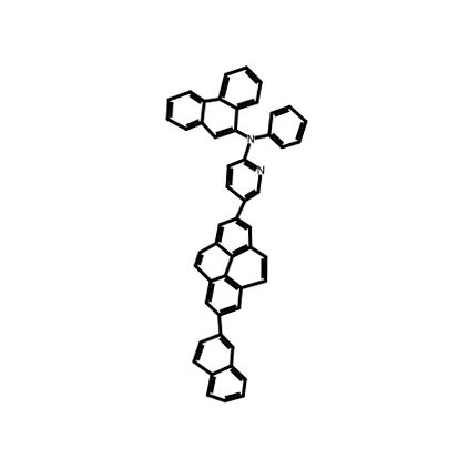 c1ccc(N(c2ccc(-c3cc4ccc5cc(-c6ccc7ccccc7c6)cc6ccc(c3)c4c56)cn2)c2cc3ccccc3c3ccccc23)cc1